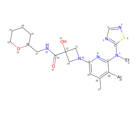 CCN(c1ncns1)c1nc(N2CC(O)(C(=O)NCC3CCCCO3)C2)cc(C)c1C(C)=O